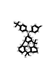 Cc1ccc(N(c2ccc(C(C)(C)C)cc2)c2cc3c4c(c2)c2cccc5c2n4-c2c(cccc2C3(C)C)C5(C)C)cc1